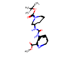 COC(=O)c1ncccc1NC(=O)NC1CCCN(C(=O)OC(C)(C)C)C1